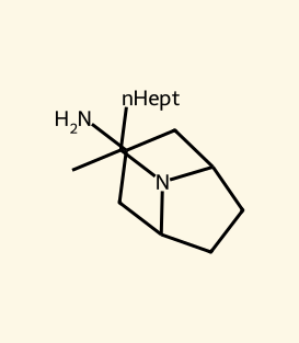 CCCCCCCC(C)N1C2CCC1CC(N)C2